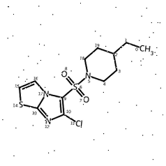 CCC1CCN(S(=O)(=O)c2c(Cl)nc3sccn23)CC1